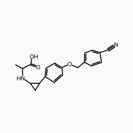 CC(NC1CC1c1ccc(OCc2ccc(C#N)cc2)cc1)C(=O)O